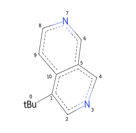 CC(C)(C)c1cncc2cnccc12